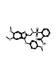 COc1ccc(Oc2c(CN(C)S(=O)(=O)c3ccccc3C(=O)O)sc3cc(OC)c(OC)cc23)cc1